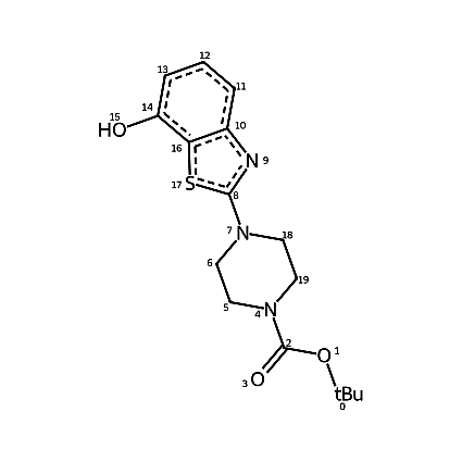 CC(C)(C)OC(=O)N1CCN(c2nc3cccc(O)c3s2)CC1